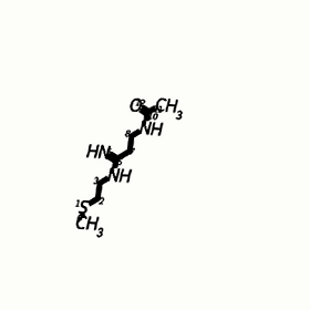 CSCCNC(=N)CCNC(C)=O